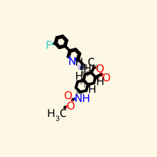 CCOC(=O)N[C@@H]1CC[C@@H]2[C@H](C1)C[C@H]1C(=O)O[C@@H](C)[C@H]1[C@H]2/C=C/c1ccc(-c2cccc(F)c2)cn1